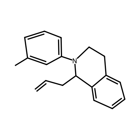 C=CCC1c2ccccc2CCN1c1cccc(C)c1